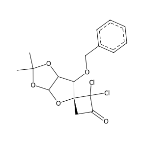 CC1(C)OC2O[C@]3(CC(=O)C3(Cl)Cl)C(OCc3ccccc3)C2O1